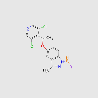 Cc1nn(PI)c2ccc(OC(C)c3c(Cl)cncc3Cl)cc12